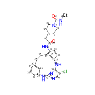 CCNC(=O)N1CCC(CC(=O)Nc2ccc3cc2CCc2cccc(c2)Nc2ncc(Cl)c(n2)N3)CC1